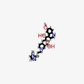 COc1ccc2nccc([C@H](O)CC[C@@H]3CCN(CCSc4nccn4C)C[C@@H]3C(=O)O)c2c1